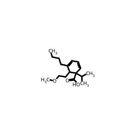 CCCCC1=CC=CC(C(=O)O)(C(C)C)C1CCOC